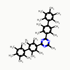 Cc1nc(-c2c(C)c(C)c(-c3c(C)c(C)c(C)c(C)c3C)c(C)c2C)nc(-c2c(C)c(C)c(-c3c(C)c(C)c(C)c(C)c3C)c(C)c2C)n1